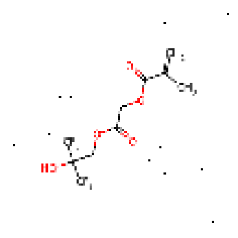 C=C(C)C(=O)OCC(=O)OCC(O)(C(F)(F)F)C(F)(F)F